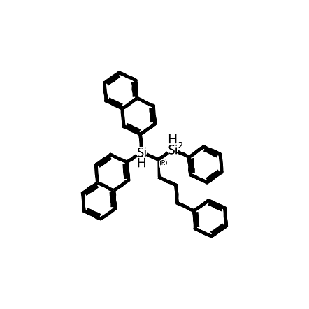 c1ccc(CCC[C@H]([SiH2]c2ccccc2)[SiH](c2ccc3ccccc3c2)c2ccc3ccccc3c2)cc1